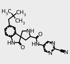 CC(C)(C)Cc1ccc2c(c1)C1(CNC(C(=O)Nc3cnc(C#N)nc3)C1)C(=O)N2